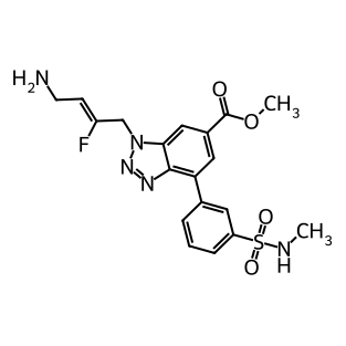 CNS(=O)(=O)c1cccc(-c2cc(C(=O)OC)cc3c2nnn3C/C(F)=C/CN)c1